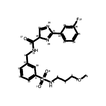 COCCCNS(=O)(=O)c1cccc(CNC(=O)C2C=NC(c3cccc(F)c3)=N2)c1